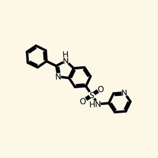 O=S(=O)(Nc1cccnc1)c1ccc2[nH]c(-c3ccccc3)nc2c1